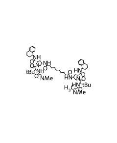 CNCC(=O)N[C@H](C(=O)N1C[C@@H](NC(=O)CCCCCCCCC(=O)N[C@H]2C[C@@H](C(=O)N[C@@H]3CCCc4ccccc43)N(C(=O)[C@@H](NC(=O)[C@H](C)NC)C(C)(C)C)C2)C[C@H]1C(=O)N[C@@H]1CCCc2ccccc21)C(C)(C)C